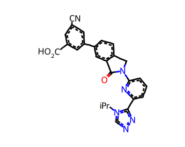 CC(C)n1cnnc1-c1cccc(N2Cc3ccc(-c4cc(C#N)cc(C(=O)O)c4)cc3C2=O)n1